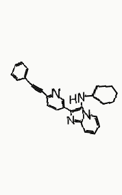 C(#Cc1ccc(-c2nc3ccccn3c2NC2CCCCC2)cn1)c1ccccc1